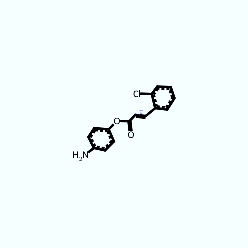 Nc1ccc(OC(=O)/C=C/c2ccccc2Cl)cc1